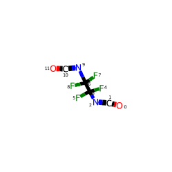 O=C=NC(F)(F)C(F)(F)N=C=O